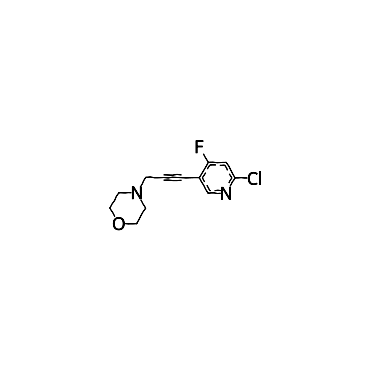 Fc1cc(Cl)ncc1C#CCN1CCOCC1